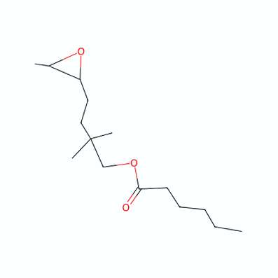 CCCCCC(=O)OCC(C)(C)CCC1OC1C